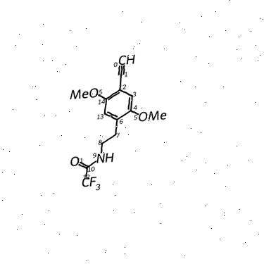 C#Cc1cc(OC)c(CCNC(=O)C(F)(F)F)cc1OC